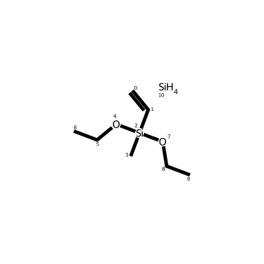 C=C[Si](C)(OCC)OCC.[SiH4]